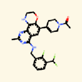 CC(=O)N1CC=C(c2cc3c(NCc4cccc(C(F)F)c4F)nc(C)nc3c3c2OCCN3)CC1